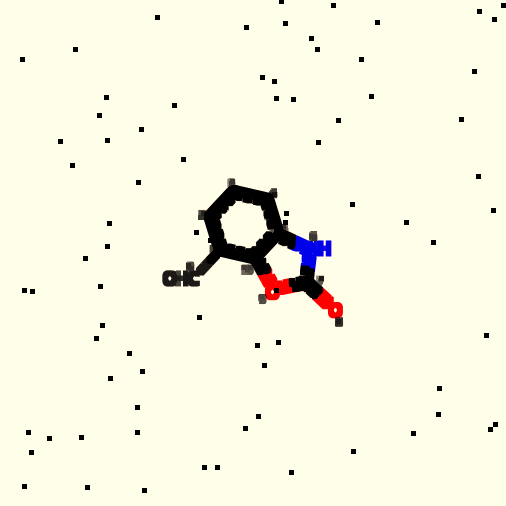 O=Cc1cccc2[nH]c(=O)oc12